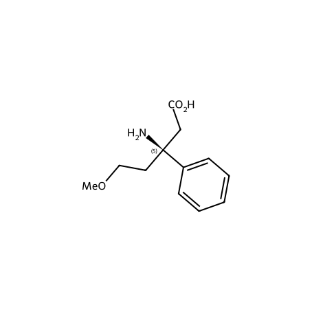 COCC[C@](N)(CC(=O)O)c1ccccc1